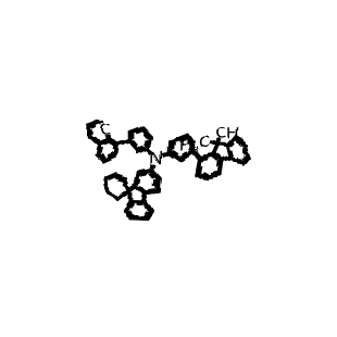 CC1(C)c2ccccc2-c2cccc(-c3cccc(N(c4cccc(-c5cccc6ccccc56)c4)c4ccc5c(c4)C4(CCCCC4)c4ccccc4-5)c3)c21